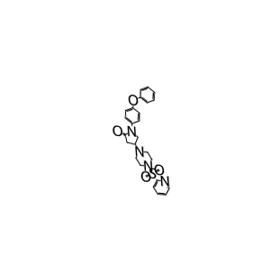 O=C1CC(N2CCN(S(=O)(=O)c3ccccn3)CC2)CN1c1ccc(Oc2ccccc2)cc1